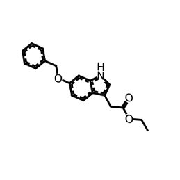 CCOC(=O)Cc1c[nH]c2cc(OCc3ccccc3)ccc12